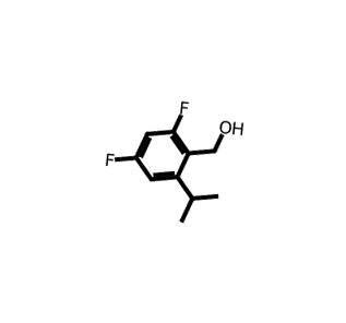 CC(C)c1cc(F)cc(F)c1CO